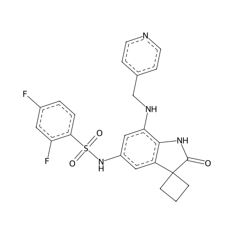 O=C1Nc2c(NCc3ccncc3)cc(NS(=O)(=O)c3ccc(F)cc3F)cc2C12CCC2